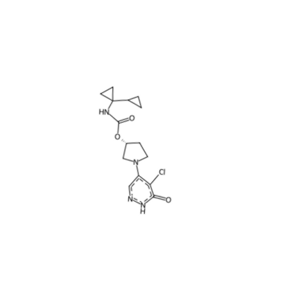 O=C(NC1(C2CC2)CC1)O[C@@H]1CCN(c2cn[nH]c(=O)c2Cl)C1